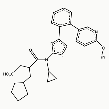 CC(C)Oc1ccc(-c2ccccc2-c2csc(N(C(=O)C(CC(=O)O)CC3CCCC3)C3CC3)n2)cn1